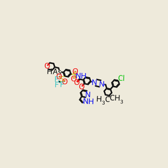 CC1(C)CCC(CN2CCN(c3ccc(C(=O)NS(=O)(=O)c4ccc([AsH]CC5CCOCC5)c(S(=O)(=O)C(F)(F)F)c4)c(Oc4cnc5[nH]ccc5c4)c3)CC2)=C(c2ccc(Cl)cc2)C1